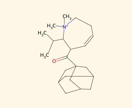 CC(C)C1C(C(=O)C23CC4CC(CC(C4)C2)C3)C=CCC[N+]1(C)C